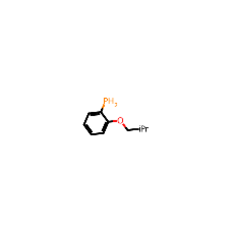 CC(C)COc1ccccc1P